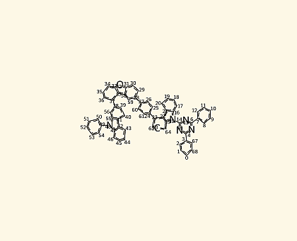 c1ccc(-c2nc(-c3ccccc3)nc(-n3c4ccccc4c4c(-c5ccc(-c6ccc7oc8cccc(-c9ccc%10c%11ccccc%11n(-c%11ccccc%11)c%10c9)c8c7c6)cc5)cccc43)n2)cc1